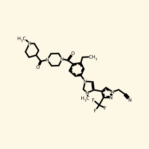 CCc1cc(N2C=C(c3cn(CC#N)nc3C(F)(F)F)N(C)C2)ccc1C(=O)N1CCN(C(=O)C2CCN(C)CC2)CC1